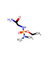 CCOP(=O)(NCC(N)=O)N(C)C